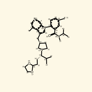 Cc1cncc2c1c(C[C@H]1CCN([C@@H](CCC3OCCO3)C(C)C)C1)cn2-c1ccc(F)cc1C(=O)N(C)C(C)C